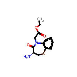 CCOC(=O)CN1C(=O)[C@@H](N)CSc2ccccc21